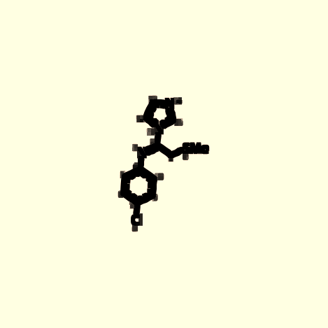 CSC/C(=N\c1ccc(Cl)cc1)n1ccnc1